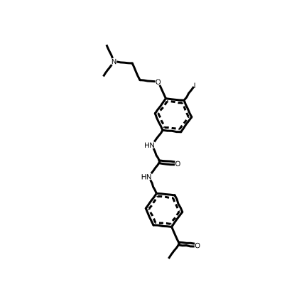 CC(=O)c1ccc(NC(=O)Nc2ccc(I)c(OCCN(C)C)c2)cc1